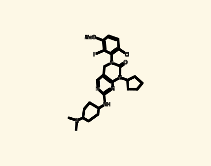 COc1ccc(Cl)c(N2Cc3cnc(NC4CCC(N(C)C)CC4)nc3N(C3CCCC3)C2=O)c1F